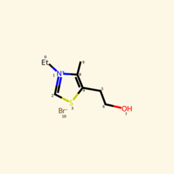 CC[n+]1csc(CCO)c1C.[Br-]